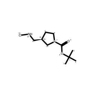 CC(C)(C)OC(=O)N1CC[C@H](CNCl)C1